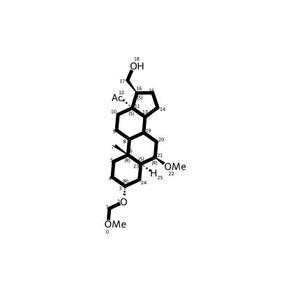 COCO[C@@H]1CC[C@]2(C)C3CC[C@]4(C(C)=O)C(CC[C@@H]4CO)C3C[C@@H](OC)[C@H]2C1